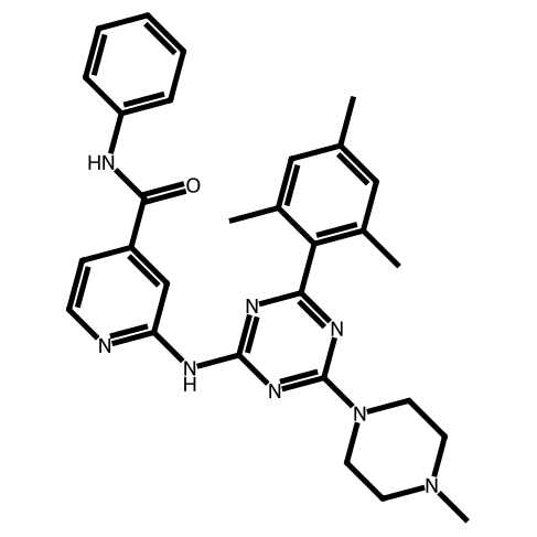 Cc1cc(C)c(-c2nc(Nc3cc(C(=O)Nc4ccccc4)ccn3)nc(N3CCN(C)CC3)n2)c(C)c1